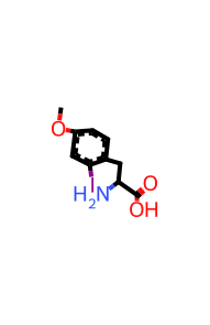 COc1ccc(CC(N)C(=O)O)c(I)c1